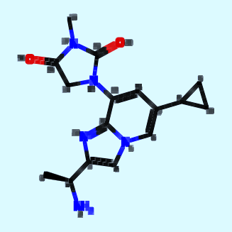 C[C@H](N)c1cn2cc(C3CC3)cc(N3CC(=O)N(C)C3=O)c2n1